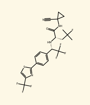 CC(C)(F)C[C@H](N[C@@H](c1ccc(-c2nc(C(F)(F)F)cs2)cc1)C(F)(F)F)C(=O)NC1(C#N)CC1